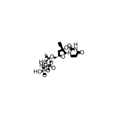 C#C[C@@]1(O)C[C@@H](CO[P@@](O)(=S)OP(=O)(O)OP(=O)(O)O)O[C@H]1n1ccc(=O)[nH]c1=O